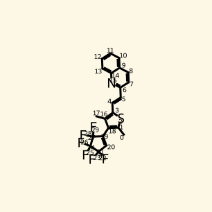 Cc1sc(C=Cc2ccc3ccccc3n2)c(C)c1C1=CC(F)(F)C(F)(F)C1(F)F